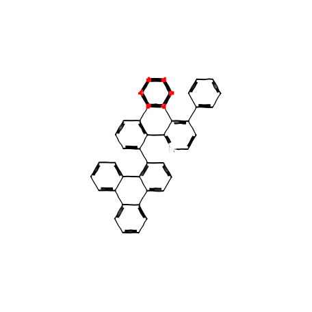 c1ccc(-c2cccc(-c3cccc4c5ccccc5c5ccccc5c34)c2-c2nccc(-c3ccccc3)c2-c2ccccc2)cc1